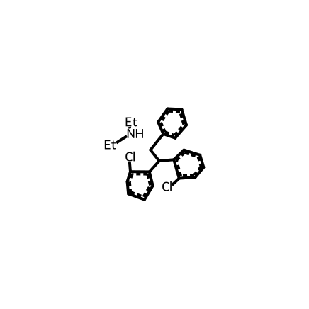 CCNCC.Clc1ccccc1C(Cc1ccccc1)c1ccccc1Cl